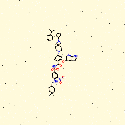 CC(C)c1ccccc1[C@@H]1CCCC1N1CC2(CCN(c3ccc(C(=O)NS(=O)(=O)c4ccc(NCC5CCC(C)(C)CC5)c([N+](=O)[O-])c4)c(Oc4cnc5[nH]ccc5c4)c3)CC2)C1